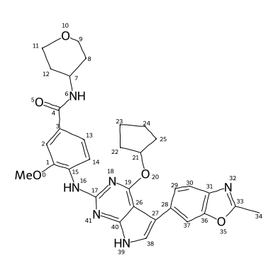 COc1cc(C(=O)NC2CCOCC2)ccc1Nc1nc(OC2CCCC2)c2c(-c3ccc4nc(C)oc4c3)c[nH]c2n1